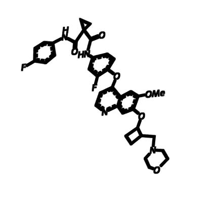 COc1cc2c(Oc3ccc(NC(=O)C4(C(=O)Nc5ccc(F)cc5)CC4)cc3F)ccnc2cc1OC1CCC1CN1CCOCC1